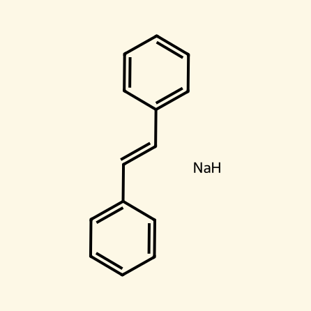 C(=Cc1ccccc1)c1ccccc1.[NaH]